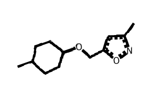 Cc1cc(COC2CCC(C)CC2)on1